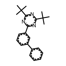 CC(C)(C)c1nc(-c2cccc(-c3ccccc3)c2)nc(C(C)(C)C)n1